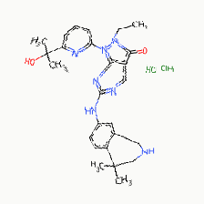 CCn1c(=O)c2cnc(Nc3ccc4c(c3)CNCC4(C)C)nc2n1-c1cccc(C(C)(C)O)n1.Cl.Cl